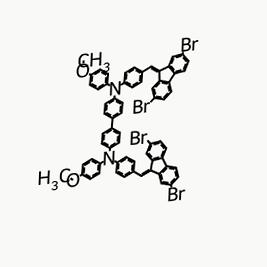 COc1ccc(N(c2ccc(C=C3c4cc(Br)ccc4-c4ccc(Br)cc43)cc2)c2ccc(-c3ccc(N(c4ccc(C=C5c6cc(Br)ccc6-c6ccc(Br)cc65)cc4)c4ccc(OC)cc4)cc3)cc2)cc1